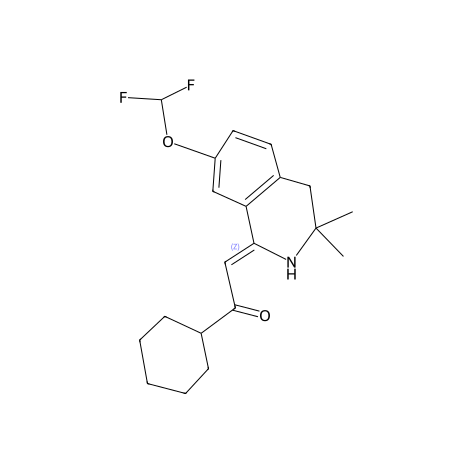 CC1(C)Cc2ccc(OC(F)F)cc2/C(=C/C(=O)C2CCCCC2)N1